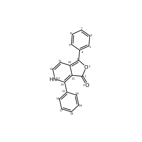 O=c1oc(-c2ccccc2)c2cc[nH]c(-c3ccccc3)c1-2